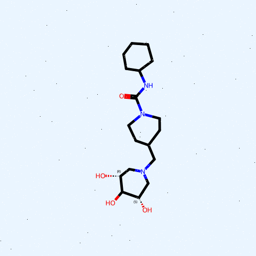 O=C(NC1CCCCC1)N1CCC(CN2C[C@@H](O)C(O)[C@@H](O)C2)CC1